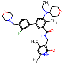 CCN(c1cc(-c2ccc(CN3CCOCC3)c(F)c2)cc(C(=O)NCc2c(C)cc(C)[nH]c2=O)c1C)C1CCOCC1